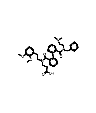 COc1cccc(CCN(CCC(=O)O)C(=O)c2ccccc2-c2ccccc2C(=O)N(CCN(C)C)Cc2ccccc2)c1OC